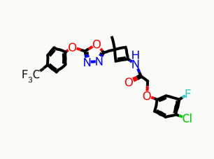 CC1(c2nnc(Oc3ccc(C(F)(F)F)cc3)o2)C=C(NC(=O)COc2ccc(Cl)c(F)c2)C1